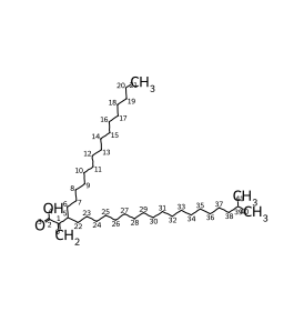 C=C(C(=O)O)C(CCCCCCCCCCCCCCCC)CCCCCCCCCCCCCCCCCC(C)C